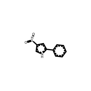 O=[SH](=O)c1c[nH]c(-c2ccccc2)c1